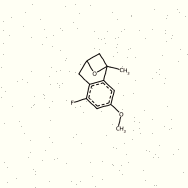 COc1cc(F)c2c(c1)C1(C)CC(C2)O1